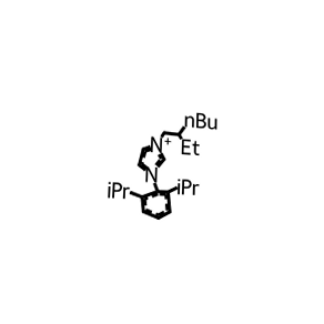 CCCCC(CC)C[n+]1ccn(-c2c(C(C)C)cccc2C(C)C)c1